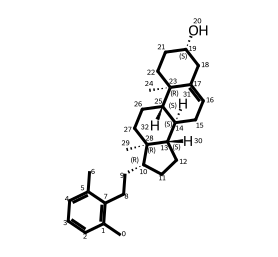 Cc1cccc(C)c1CC[C@H]1CC[C@H]2[C@@H]3CC=C4C[C@@H](O)CC[C@]4(C)[C@H]3CC[C@]12C